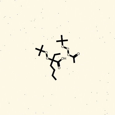 CC(=O)OOOC(C)(C)C.CCCCC(CC)(OOC(C)(C)C)C(=O)O